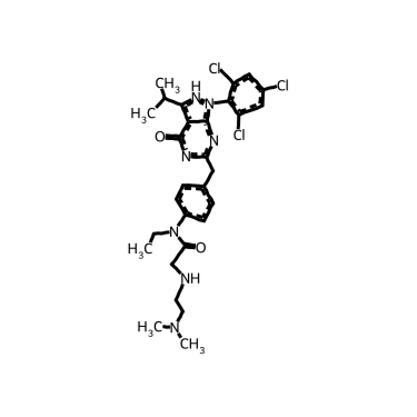 CCN(C(=O)CNCCN(C)C)c1ccc(Cc2nc3n(-c4c(Cl)cc(Cl)cc4Cl)[nH]c(C(C)C)c-3c(=O)n2)cc1